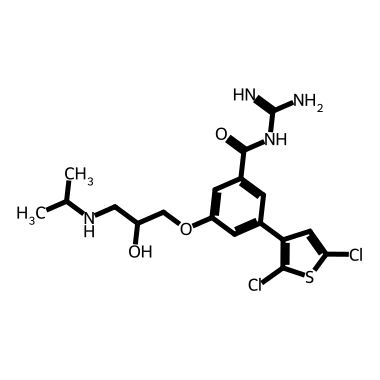 CC(C)NCC(O)COc1cc(C(=O)NC(=N)N)cc(-c2cc(Cl)sc2Cl)c1